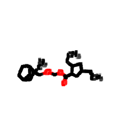 CCC1CC(CC)C(C(=O)OCOCC2(C)CC3CCC2C3)C1